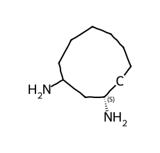 NC1CCCCCCC[C@H](N)C1